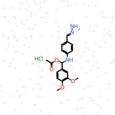 COc1ccc(C(Nc2ccc(C=NN)cc2)OC(C)=O)cc1OC.Cl